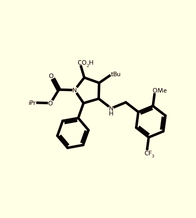 COc1ccc(C(F)(F)F)cc1CNC1C(c2ccccc2)N(C(=O)OC(C)C)C(C(=O)O)C1C(C)(C)C